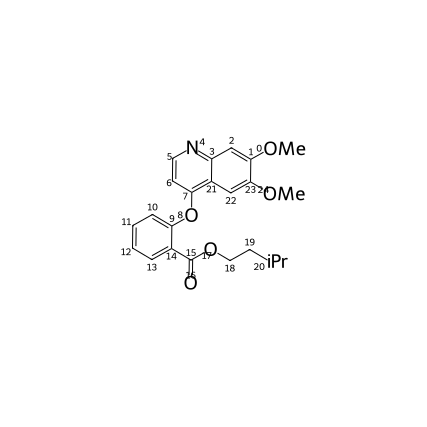 COc1cc2nccc(Oc3ccccc3C(=O)OCCC(C)C)c2cc1OC